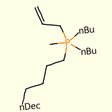 C=CCP(C)(CCCC)(CCCC)CCCCCCCCCCCCCC